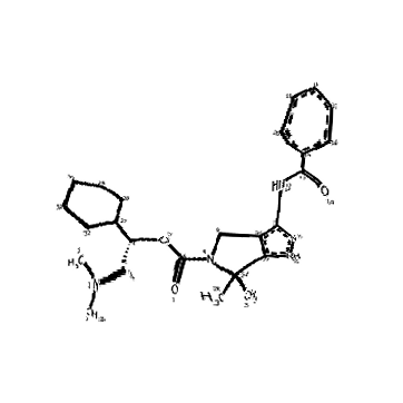 CN(C)C[C@@H](OC(=O)N1Cc2c(NC(=O)c3ccccc3)n[nH]c2C1(C)C)C1CCCCC1